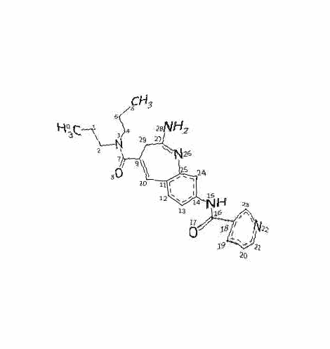 CCCN(CCC)C(=O)C1=Cc2ccc(NC(=O)c3cccnc3)cc2N=C(N)C1